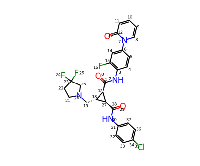 O=C(Nc1ccc(-n2ccccc2=O)cc1F)[C@@H]1[C@@H](CN2CCC(F)(F)C2)[C@@H]1C(=O)Nc1ccc(Cl)cc1